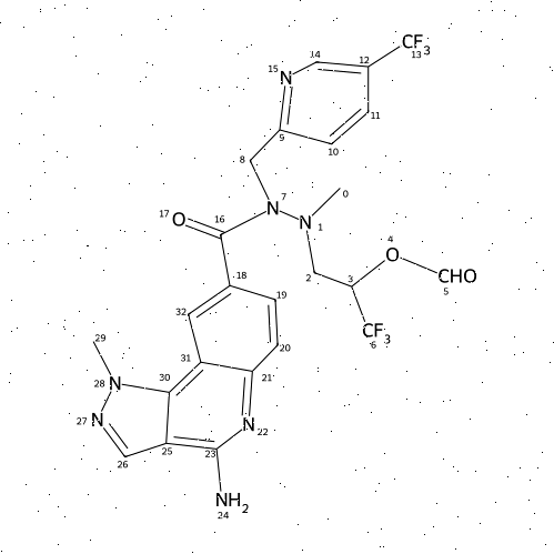 CN(CC(OC=O)C(F)(F)F)N(Cc1ccc(C(F)(F)F)cn1)C(=O)c1ccc2nc(N)c3cnn(C)c3c2c1